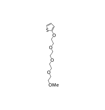 COCCOCCOCCOCCOc1cccs1